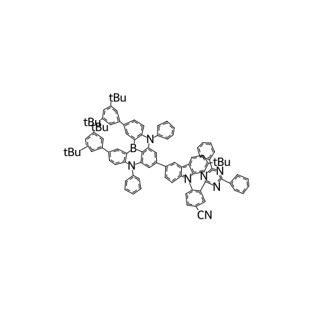 CC(C)(C)c1cc(-c2ccc3c(c2)B2c4cc(-c5cc(C(C)(C)C)cc(C(C)(C)C)c5)ccc4N(c4ccccc4)c4cc(-c5ccc6c(c5)c5ccc(C(C)(C)C)cc5n6-c5ccc(C#N)cc5-c5nc(-c6ccccc6)nc(-c6ccccc6)n5)cc(c42)N3c2ccccc2)cc(C(C)(C)C)c1